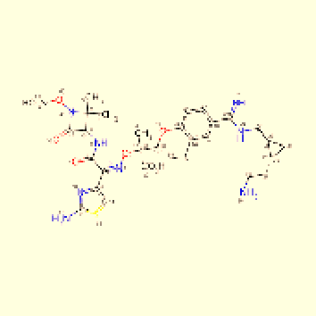 CC1(C)[C@H](NC(=O)/C(=N\O[C@](C)(C(=O)O)[C@H]2CCc3cc(C(=N)NC[C@H]4C[C@@H]4CCN)ccc3O2)c2csc(N)n2)C(=O)N1OS(=O)(=O)O